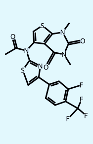 CC(=O)N(c1nc(-c2ccc(C(F)(F)F)c(F)c2)cs1)c1csc2c1c(=O)n(C)c(=O)n2C